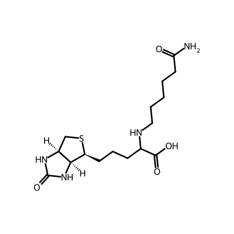 NC(=O)CCCCCNC(CCC[C@@H]1SC[C@@H]2NC(=O)N[C@@H]21)C(=O)O